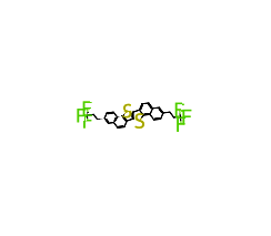 FC(F)(F)CCc1ccc2c(ccc3c2sc2c4ccc5cc(CCC(F)(F)F)ccc5c4sc32)c1